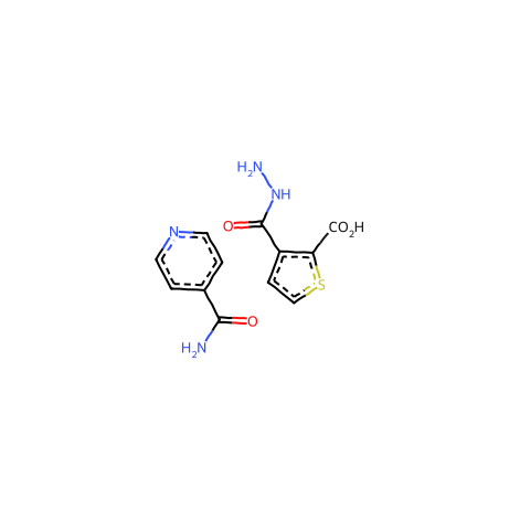 NC(=O)c1ccncc1.NNC(=O)c1ccsc1C(=O)O